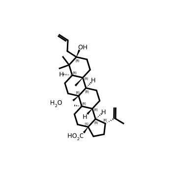 C=CC[C@]1(O)CC[C@]2(C)[C@H]3CC[C@@H]4[C@H]5[C@H](C(=C)C)CC[C@]5(C(=O)O)CC[C@@]4(C)[C@]3(C)CC[C@H]2C1(C)C.O